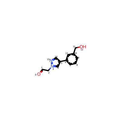 O=CCn1cc(-c2cccc(CO)c2)cn1